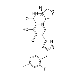 O=C1N[C@@H]2COCC2n2cc(-c3nnc(Cc4ccc(F)cc4F)s3)c(=O)c(O)c21